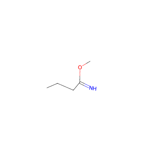 CCCC(=N)OC